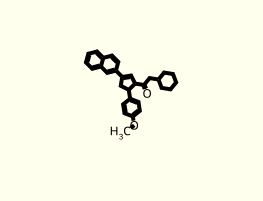 COc1ccc(C2CC(c3ccc4ccccc4c3)=CC2C(=O)CC2CCCCC2)cc1